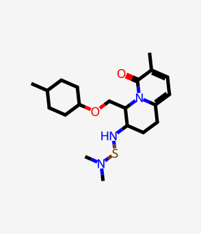 Cc1ccc2n(c1=O)C(COC1CCC(C)CC1)C(NSN(C)C)CC2